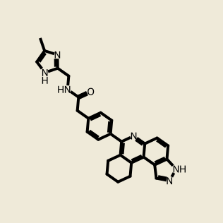 Cc1c[nH]c(CNC(=O)Cc2ccc(-c3nc4ccc5[nH]ncc5c4c4c3CCCC4)cc2)n1